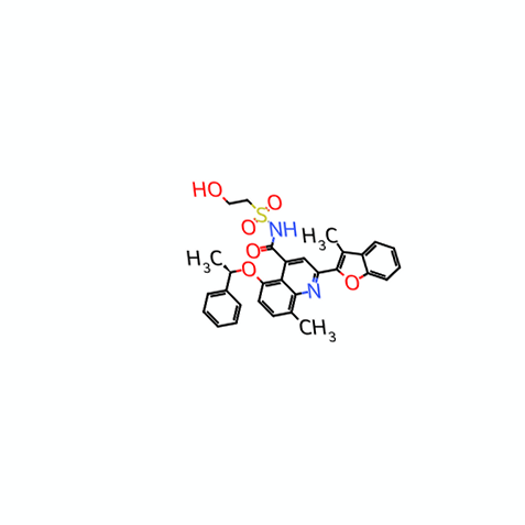 Cc1c(-c2cc(C(=O)NS(=O)(=O)CCO)c3c(O[C@H](C)c4ccccc4)ccc(C)c3n2)oc2ccccc12